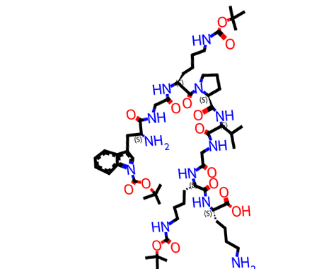 CC(C)[C@H](NC(=O)[C@@H]1CCCN1C(=O)[C@H](CCCCNC(=O)OC(C)(C)C)NC(=O)CNC(=O)[C@@H](N)Cc1cn(C(=O)OC(C)(C)C)c2ccccc12)C(=O)NCC(=O)N[C@@H](CCCCNC(=O)OC(C)(C)C)C(=O)N[C@@H](CCCCN)C(=O)O